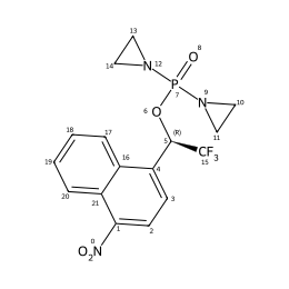 O=[N+]([O-])c1ccc([C@@H](OP(=O)(N2CC2)N2CC2)C(F)(F)F)c2ccccc12